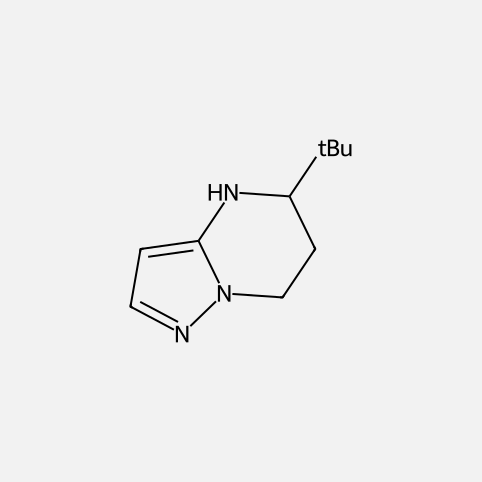 CC(C)(C)C1CCn2nccc2N1